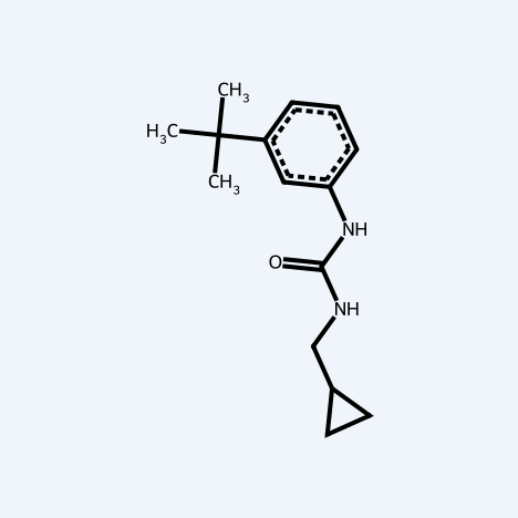 CC(C)(C)c1cccc(NC(=O)NCC2CC2)c1